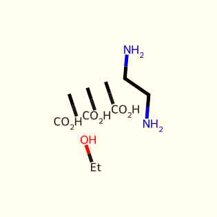 CC(=O)O.CC(=O)O.CC(=O)O.CCO.NCCN